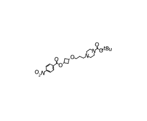 CC(C)(C)OC(=O)N1CCN(CCCO[C@H]2C[C@H](OC(=O)c3ccc([N+](=O)[O-])cc3)C2)CC1